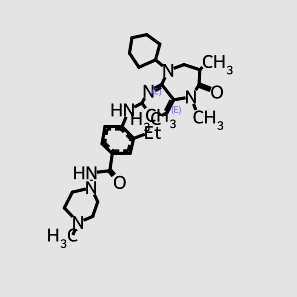 C/C=C1\C(=N/C(C)Nc2ccc(C(=O)NN3CCN(C)CC3)cc2CC)N(C2CCCCC2)CC(C)C(=O)N1C